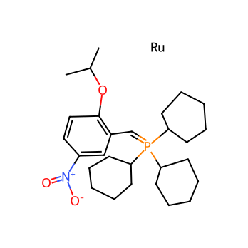 CC(C)Oc1ccc([N+](=O)[O-])cc1C=P(C1CCCCC1)(C1CCCCC1)C1CCCCC1.[Ru]